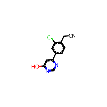 N#CCc1ccc(-c2cc(O)ncn2)cc1Cl